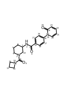 O=C(NC1[CH]CCN(C(=O)N2CCC2)C1)c1ccc(-n2ccccc2=O)cc1